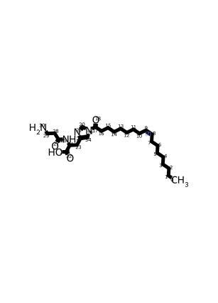 CCCCCCCC/C=C\CCCCCCCC(=O)n1cnc(CC(NC(=O)CCN)C(=O)O)c1